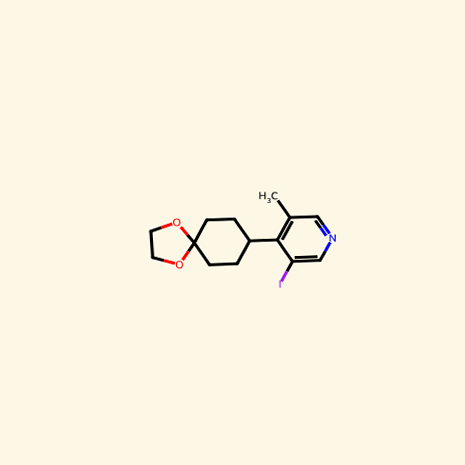 Cc1cncc(I)c1C1CCC2(CC1)OCCO2